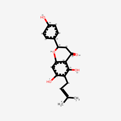 CC(C)=CCc1c(O)cc2c(c1O)C(=O)CC(c1ccc(O)cc1)O2